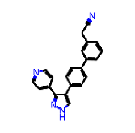 N#CCc1cccc(-c2ccc(-c3c[nH]nc3-c3ccncc3)cc2)c1